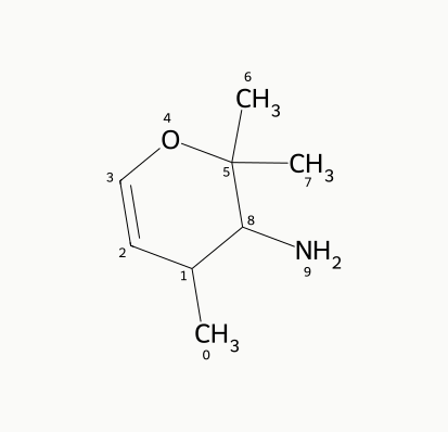 CC1C=COC(C)(C)C1N